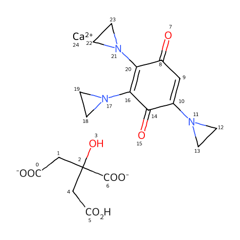 O=C([O-])CC(O)(CC(=O)O)C(=O)[O-].O=C1C=C(N2CC2)C(=O)C(N2CC2)=C1N1CC1.[Ca+2]